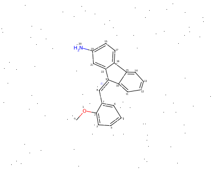 COc1ccccc1/C=C1\c2ccccc2-c2ccc(N)cc21